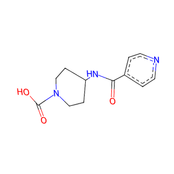 O=C(NC1CCN(C(=O)O)CC1)c1ccncc1